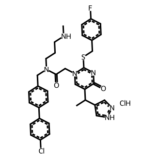 CNCCCN(Cc1ccc(-c2ccc(Cl)cc2)cc1)C(=O)Cn1cc(C(C)c2cn[nH]c2)c(=O)nc1SCc1ccc(F)cc1.Cl